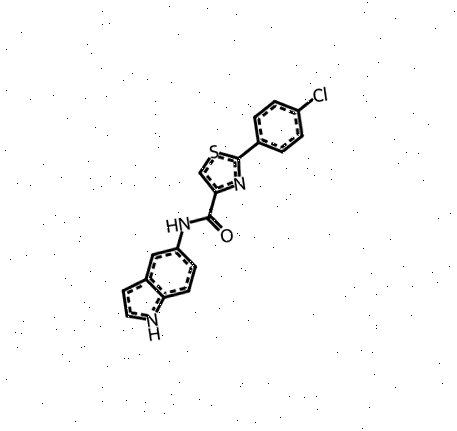 O=C(Nc1ccc2[nH]ccc2c1)c1csc(-c2ccc(Cl)cc2)n1